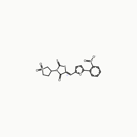 O=C1/C(=C/c2ccc(-c3ccccc3[N+](=O)[O-])o2)SC(=S)N1C1CCS(=O)(=O)C1